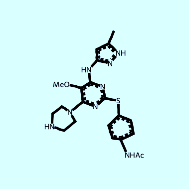 COc1c(Nc2cc(C)[nH]n2)nc(Sc2ccc(NC(C)=O)cc2)nc1N1CCNCC1